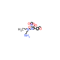 CCCCN(CCCCN)C(=O)CN1C[C@H](c2ccc3c(c2)CCO3)[C@@H](C(=O)O)[C@@H]1CN1CCCC1=O